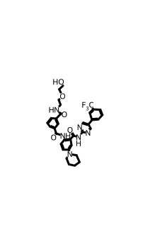 O=C(NCCOCCO)c1cccc(C(=O)Nc2ccc(N3CCCCC3)cc2C(=O)Nc2ncc(-c3cccc(C(F)(F)F)c3)cn2)c1